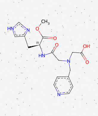 COC(=O)[C@H](Cc1c[nH]cn1)NC(=O)CN(CC(=O)O)Cc1ccncc1